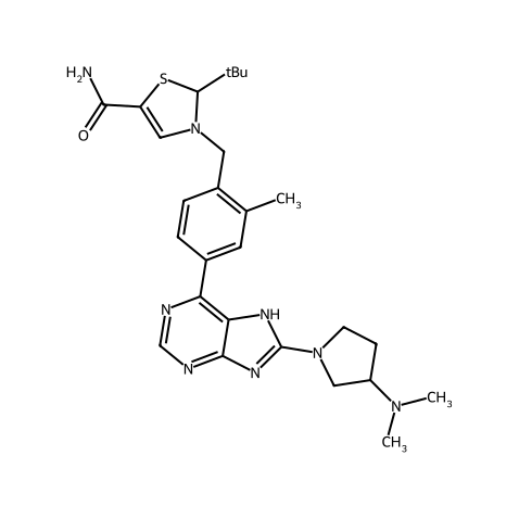 Cc1cc(-c2ncnc3nc(N4CCC(N(C)C)C4)[nH]c23)ccc1CN1C=C(C(N)=O)SC1C(C)(C)C